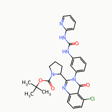 CC(C)(C)OC(=O)N1CCCC1c1nc2cccc(Cl)c2c(=O)n1-c1cccc(NC(=O)Nc2ccccn2)c1